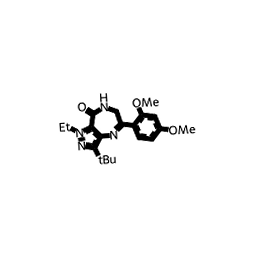 CCn1nc(C(C)(C)C)c2c1C(=O)NCC(c1ccc(OC)cc1OC)=N2